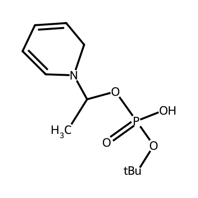 CC(OP(=O)(O)OC(C)(C)C)N1C=CC=CC1